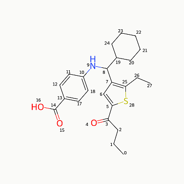 CCCC(=O)c1cc(C(Nc2ccc(C(=O)O)cc2)C2CCCCC2)c(CC)s1